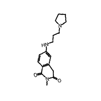 CN1C(=O)Cc2cc(NCCCN3CCCC3)ccc2C1=O